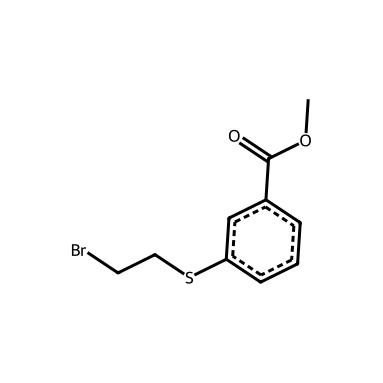 COC(=O)c1cccc(SCCBr)c1